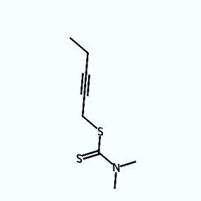 CCC#CCSC(=S)N(C)C